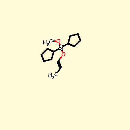 CC=CO[Si](OC)(C1CCCC1)C1CCCC1